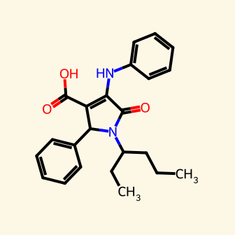 CCCC(CC)N1C(=O)C(Nc2ccccc2)=C(C(=O)O)C1c1ccccc1